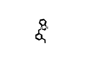 CCc1cccc(Cn2cnc3ccccc32)c1